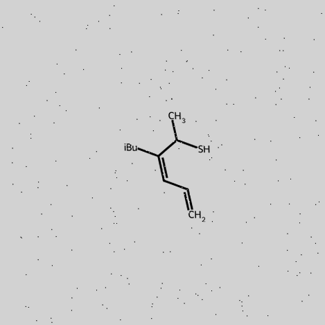 C=C/C=C(\C(C)S)C(C)CC